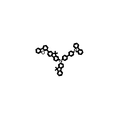 CC1(C)c2ccccc2-c2ccc(N(c3ccc(-c4ccc(-n5c6ccccc6c6ccccc65)cc4)cc3)c3ccc4c(c3)C(C)(C)c3cc(-c5cccc6c5oc5ccccc56)ccc3-4)cc21